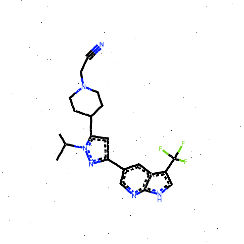 CC(C)n1nc(-c2cnc3[nH]cc(C(F)(F)F)c3c2)cc1C1CCN(CC#N)CC1